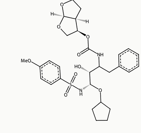 COc1ccc(S(=O)(=O)N[C@@H](OC2CCCC2)[C@H](O)C(Cc2ccccc2)NC(=O)O[C@H]2CO[C@H]3OCC[C@H]32)cc1